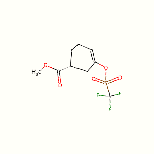 COC(=O)[C@@H]1CCC=C(OS(=O)(=O)C(F)(F)F)C1